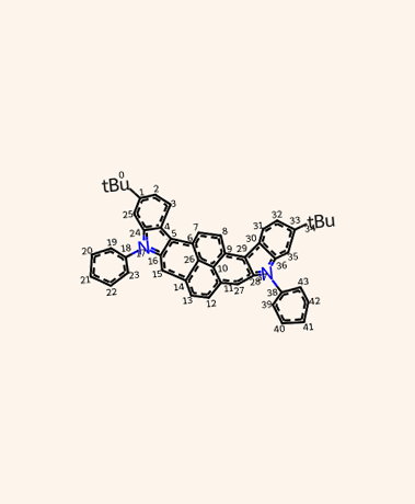 CC(C)(C)c1ccc2c3c4ccc5c6c(ccc(cc3n(-c3ccccc3)c2c1)c46)cc1c5c2ccc(C(C)(C)C)cc2n1-c1ccccc1